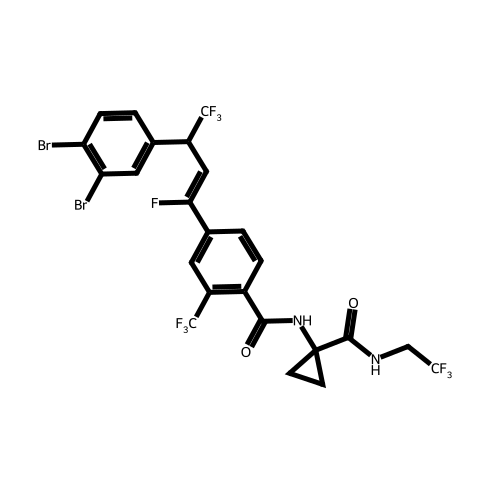 O=C(NC1(C(=O)NCC(F)(F)F)CC1)c1ccc(/C(F)=C/C(c2ccc(Br)c(Br)c2)C(F)(F)F)cc1C(F)(F)F